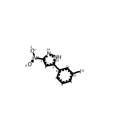 O=[N+]([O-])c1cc(-c2cccc(I)c2)[nH]n1